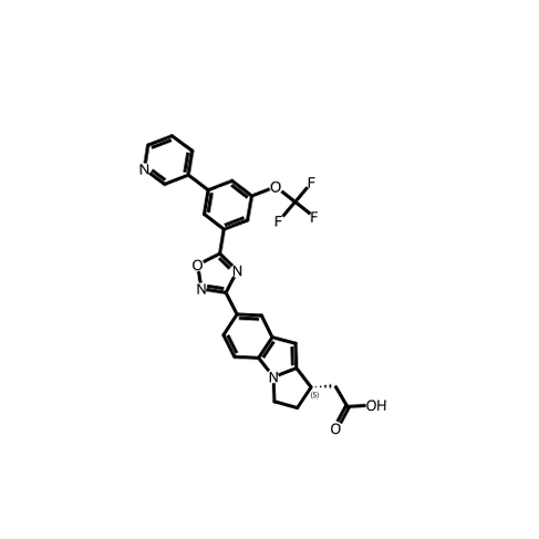 O=C(O)C[C@@H]1CCn2c1cc1cc(-c3noc(-c4cc(OC(F)(F)F)cc(-c5cccnc5)c4)n3)ccc12